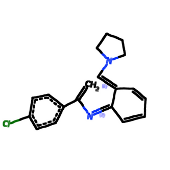 C=C(/N=C1/C=CC=C/C1=C\N1CCCC1)c1ccc(Cl)cc1